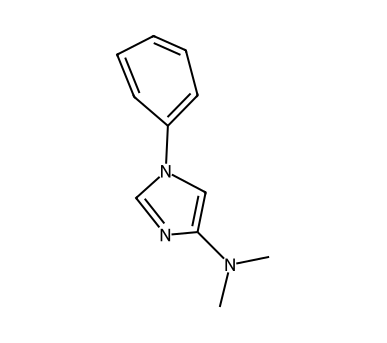 CN(C)c1cn(-c2ccccc2)cn1